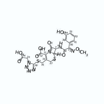 CO/N=C(/C(=O)NC1C(=O)N2C(C(=O)O)=C(CSc3nnnn3CC(=O)O)CS[C@H]12)c1cccc(O)c1